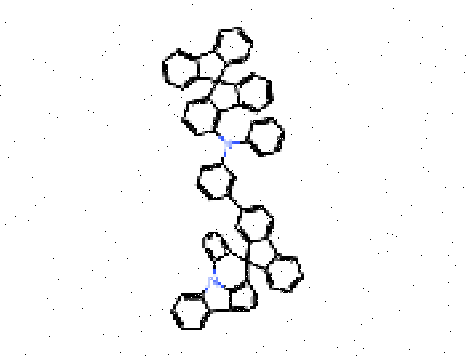 c1ccc(N(c2cccc(-c3ccc4c(c3)C3(c5ccccc5-4)c4ccccc4-n4c5ccccc5c5cccc3c54)c2)c2cccc3c2-c2ccccc2C32c3ccccc3-c3ccccc32)cc1